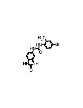 Cc1cc(Br)ccc1NC(=O)Nc1ccc2[nH]c(=O)[nH]c2c1